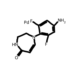 Nc1cc(F)c(N2C=CC(=O)NCC2)c(F)c1.[Pd]